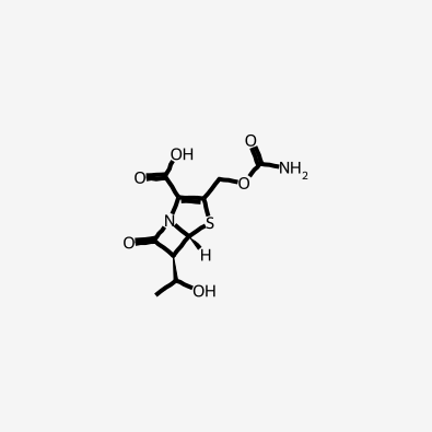 CC(O)[C@H]1C(=O)N2C(C(=O)O)=C(COC(N)=O)S[C@H]12